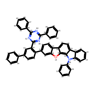 c1ccc(-c2ccc(-c3ccc4c(c3)oc3c4ccc4c5ccccc5n(-c5ccccc5)c43)c(-c3nc(-c4ccccc4)nc(-c4ccccc4)n3)c2)cc1